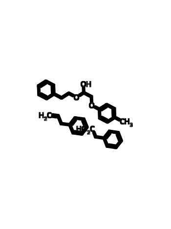 C=CCc1ccccc1.Cc1ccc(OCC(O)OCCc2ccccc2)cc1.O=C(O)Cc1ccccc1